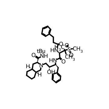 CC(C)(C)NC(=O)[C@@H]1C[C@@H]2CCCC[C@@H]2CN1C[C@@H](O)[C@H](Cc1ccccc1)NC(=O)[C@@H](NC(=O)CCc1ccccc1)C(C)(C)S(C)(=O)=O